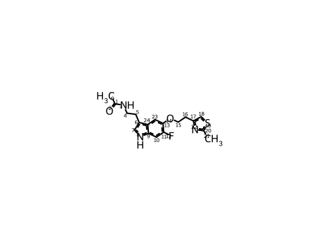 CC(=O)NCCc1c[nH]c2cc(F)c(OCCc3csc(C)n3)cc12